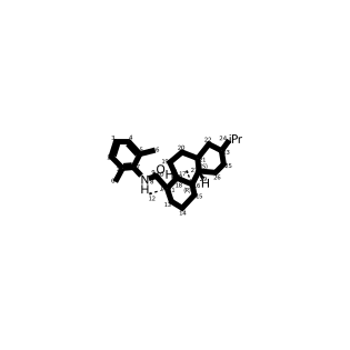 Cc1cccc(C)c1NC(=O)[C@]1(C)CCC[C@@]2(C)[C@H]1CCC1CC(C(C)C)CC[C@@H]12